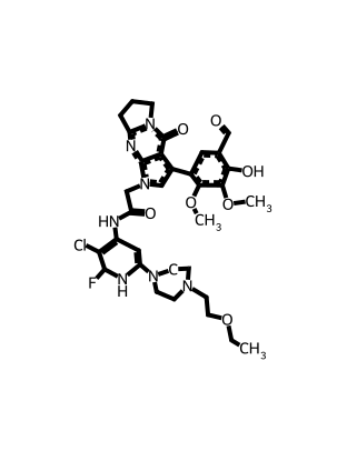 CCOCCN1CCN(C2=CC(NC(=O)Cn3cc(-c4cc(C=O)c(O)c(OC)c4OC)c4c(=O)n5c(nc43)CCC5)=C(Cl)C(F)N2)CC1